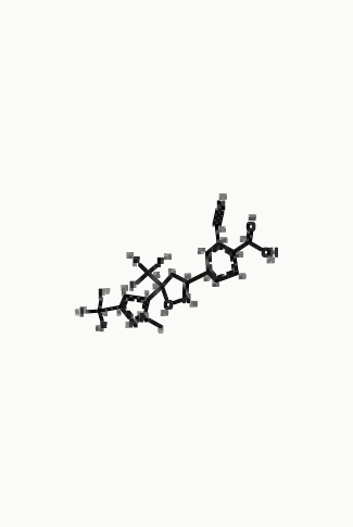 Cn1nc(C(F)(F)F)cc1C1(C(F)(F)F)CC(c2ccc(C(=O)O)c(C#N)c2)=NO1